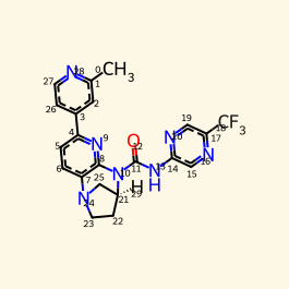 Cc1cc(-c2ccc3c(n2)N(C(=O)Nc2cnc(C(F)(F)F)cn2)[C@H]2CCN3C2)ccn1